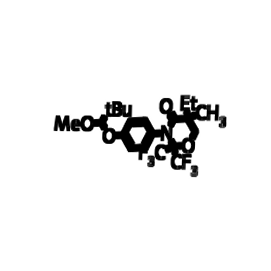 CCC1(C)COC(C(F)(F)F)(C(F)(F)F)N(c2ccc(OC(OC)C(C)(C)C)cc2)C1=O